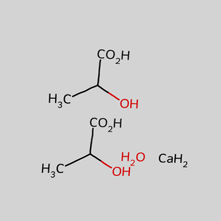 CC(O)C(=O)O.CC(O)C(=O)O.O.[CaH2]